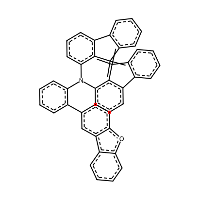 CC1(C)c2ccccc2-c2cccc(N(c3ccccc3-c3ccc4oc5ccccc5c4c3)c3cccc4c3C(C)(C)c3ccccc3-4)c21